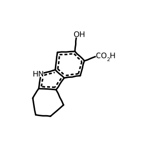 O=C(O)c1cc2c3c([nH]c2cc1O)CCCC3